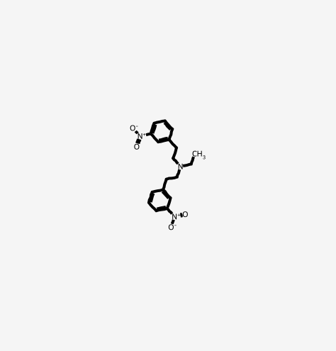 CCN(CCc1cccc([N+](=O)[O-])c1)CCc1cccc([N+](=O)[O-])c1